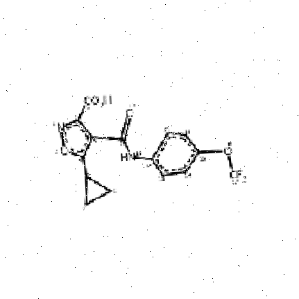 O=C(O)c1noc(C2CC2)c1C(=O)Nc1ccc(OC(F)(F)F)cc1